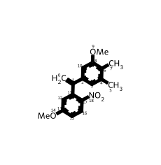 C=C(c1cc(C)c(C)c(OC)c1)c1cc(OC)ccc1[N+](=O)[O-]